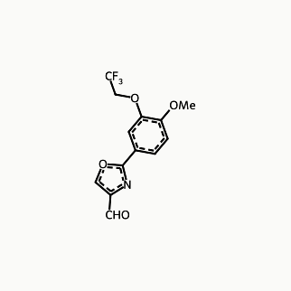 COc1ccc(-c2nc(C=O)co2)cc1OCC(F)(F)F